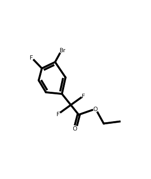 CCOC(=O)C(F)(F)c1ccc(F)c(Br)c1